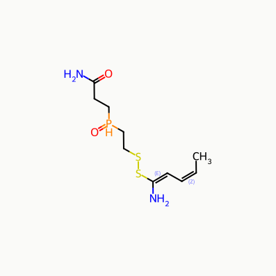 C/C=C\C=C(/N)SSCC[PH](=O)CCC(N)=O